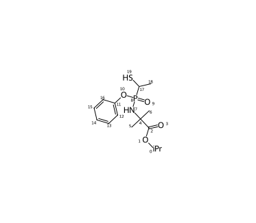 CC(C)OC(=O)C(C)(C)NP(=O)(Oc1ccccc1)C(C)S